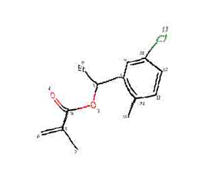 [CH2]CC(OC(=O)C(=C)C)c1cc(Cl)ccc1C